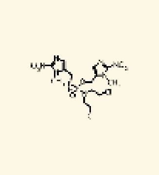 Cn1c(CNP(=O)(OCc2cnc([N+](=O)[O-])n2C)N(CCCl)CCCl)cnc1[N+](=O)[O-]